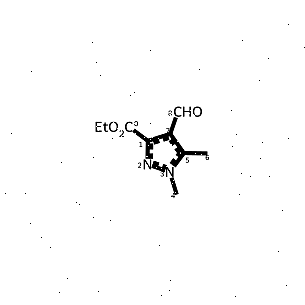 CCOC(=O)c1nn(C)c(C)c1C=O